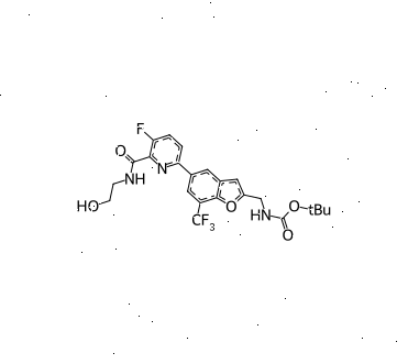 CC(C)(C)OC(=O)NCc1cc2cc(-c3ccc(F)c(C(=O)NCCO)n3)cc(C(F)(F)F)c2o1